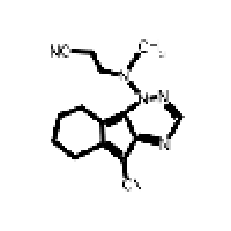 CN(CCC#N)n1ncnc2c(C#N)c3c(c1-2)CCCC3